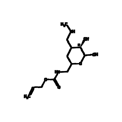 C=CCOC(=O)NCC1CC(CNC)[C@H](O)C(O)O1